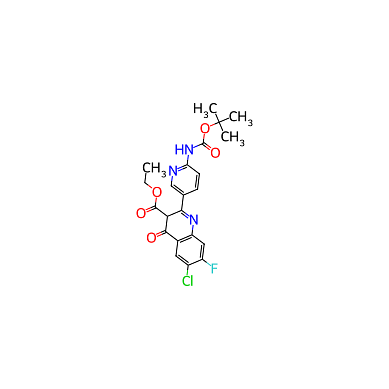 CCOC(=O)C1C(=O)c2cc(Cl)c(F)cc2N=C1c1ccc(NC(=O)OC(C)(C)C)nc1